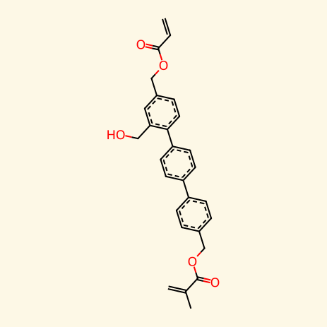 C=CC(=O)OCc1ccc(-c2ccc(-c3ccc(COC(=O)C(=C)C)cc3)cc2)c(CO)c1